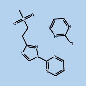 CS(=O)(=O)CCc1ncn(-c2ncccn2)n1.Clc1ncccn1